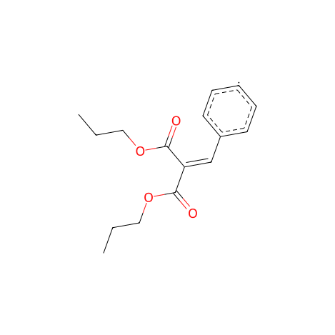 CCCOC(=O)C(=Cc1cc[c]cc1)C(=O)OCCC